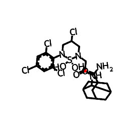 NC(=O)C12CC3CC(C1)C(NC(=O)CN1CC(Cl)CN(c4c(Cl)cc(Cl)cc4Cl)S1(O)O)C(C3)C2